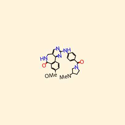 CNC1CCN(C(=O)c2ccc(Nc3ncc4c(n3)-c3ccc(OC)cc3C(=O)NC4)cc2)C1